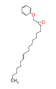 CCCCCCC=CCCCCCCCC1OC1COc1ccccc1